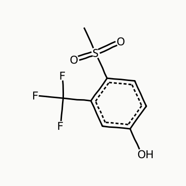 CS(=O)(=O)c1ccc(O)cc1C(F)(F)F